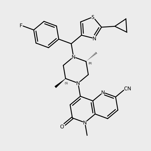 C[C@@H]1CN(c2cc(=O)n(C)c3ccc(C#N)nc23)[C@@H](C)CN1C(c1ccc(F)cc1)c1csc(C2CC2)n1